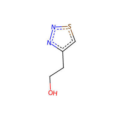 OCCc1csnn1